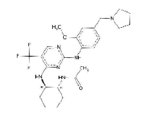 COc1cc(CN2CCCC2)ccc1Nc1ncc(C(F)(F)F)c(N[C@@H]2CCCC[C@H]2NC(C)=O)n1